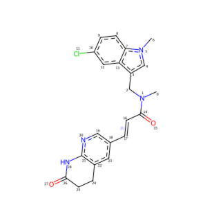 CN(Cc1cn(C)c2ccc(Cl)cc12)C(=O)/C=C/c1cnc2c(c1)CCC(=O)N2